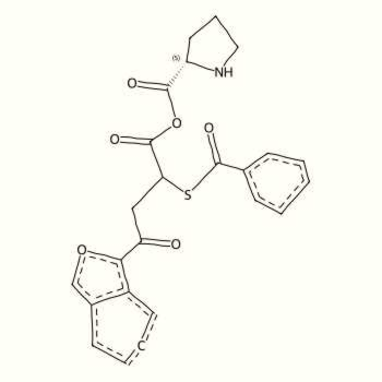 O=C(SC(CC(=O)c1occ2ccccc12)C(=O)OC(=O)[C@@H]1CCCN1)c1ccccc1